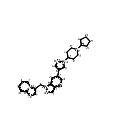 c1ccn2c(Cn3ncc4ncc(-c5cnn(C6CCN(C7CCCC7)CC6)c5)cc43)cnc2c1